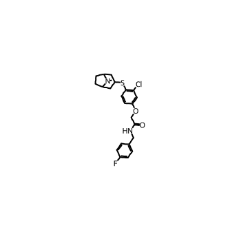 CN1C2CCC1CC(Sc1ccc(OCC(=O)NCc3ccc(F)cc3)cc1Cl)C2